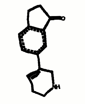 O=C1CCc2ccc(C3=CCCNC3)cc21